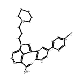 COC(=O)c1cccc2c1c(-c1cncc(-c3ccc(Cl)cc3)c1)cn2CCCN1CCCCC1